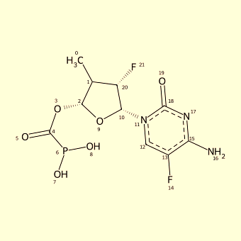 CC1[C@@H](OC(=O)P(O)O)O[C@@H](n2cc(F)c(N)nc2=O)[C@H]1F